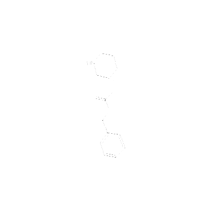 O=C([CH][C@H]1CCCNC1)OCc1ccccc1